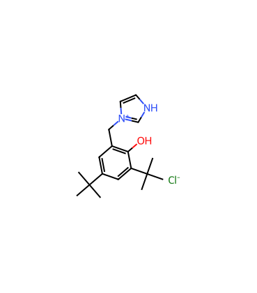 CC(C)(C)c1cc(C[n+]2cc[nH]c2)c(O)c(C(C)(C)C)c1.[Cl-]